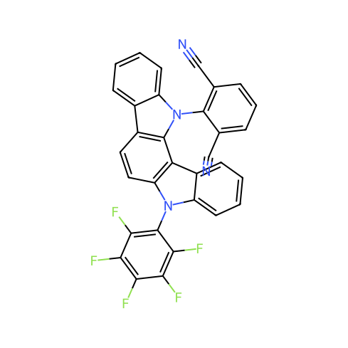 N#Cc1cccc(C#N)c1-n1c2ccccc2c2ccc3c(c4ccccc4n3-c3c(F)c(F)c(F)c(F)c3F)c21